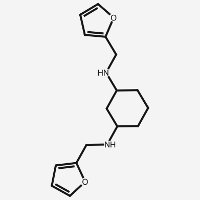 c1coc(CNC2CCCC(NCc3ccco3)C2)c1